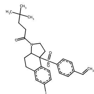 C=Cc1ccc(S(=O)(=O)C23CCN(C(=O)CCC(C)(C)C)C2CCc2cc(I)ccc23)cc1